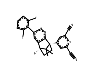 CC1(C)[C@H]2CC[C@]1(c1cc(C#N)nc(C#N)c1)c1nnc(-c3c(F)cccc3F)cc12